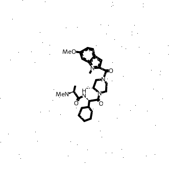 CN[C@@H](C)C(=O)N[C@H](C(=O)N1CCN(C(=O)c2cc3ccc(OC)cc3n2C)C[C@H]1C)C1CCCCC1